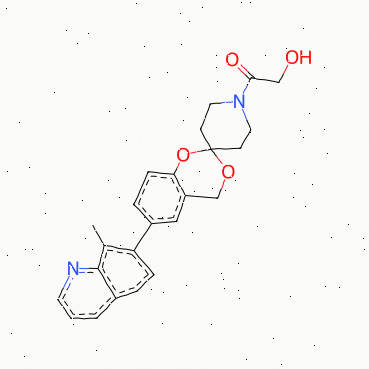 Cc1c(-c2ccc3c(c2)COC2(CCN(C(=O)CO)CC2)O3)ccc2cccnc12